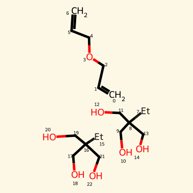 C=CCOCC=C.CCC(CO)(CO)CO.CCC(CO)(CO)CO